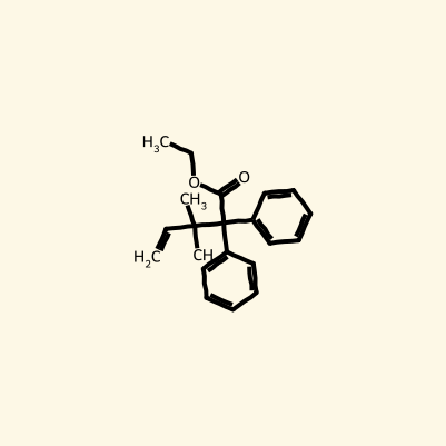 C=CC(C)(C)C(C(=O)OCC)(c1ccccc1)c1ccccc1